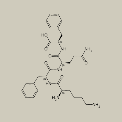 NCCCC[C@@H](N)C(=O)N[C@H](Cc1ccccc1)C(=O)N[C@H](CCC(N)=O)C(=O)N[C@H](Cc1ccccc1)C(=O)O